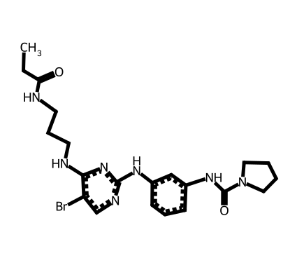 CCC(=O)NCCCNc1nc(Nc2cccc(NC(=O)N3CCCC3)c2)ncc1Br